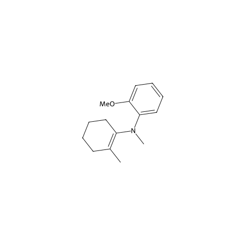 COc1ccccc1N(C)C1=C(C)CCCC1